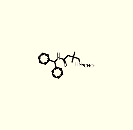 CC(C)(CN[C]=O)CC(=O)NC(c1ccccc1)c1ccccc1